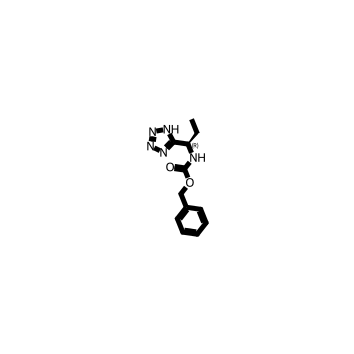 CC[C@@H](NC(=O)OCc1ccccc1)c1nnn[nH]1